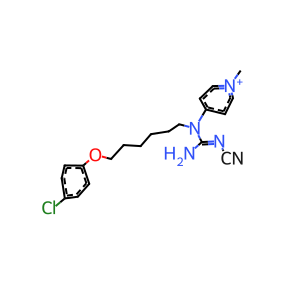 C[n+]1ccc(N(CCCCCCOc2ccc(Cl)cc2)C(N)=NC#N)cc1